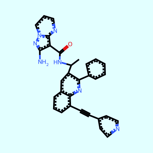 CC(NC(=O)c1c(N)nn2cccnc12)c1cc2cccc(C#Cc3ccncc3)c2nc1-c1ccccc1